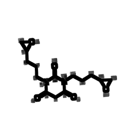 O=C1CC(=O)N(CCCC2CO2)C(=O)N1CCCC1CO1